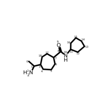 CC(N)C1CCCC(C(=O)NC2CCCCC2)CC1